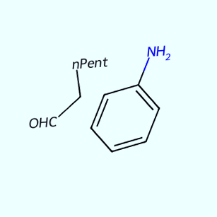 CCCCCCC=O.Nc1ccccc1